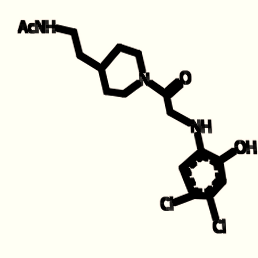 CC(=O)NCCC1CCN(C(=O)CNc2cc(Cl)c(Cl)cc2O)CC1